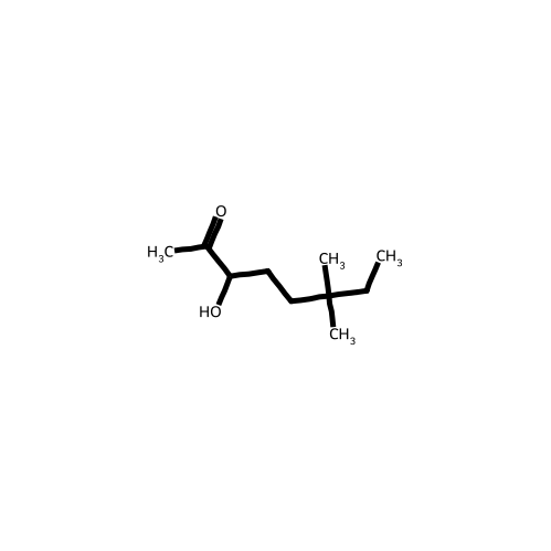 CCC(C)(C)CCC(O)C(C)=O